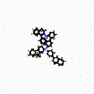 CC1(C)C2=CC(N(C3C=CC(C4CC=CC=C4N4c5ccccc5C5c6ccccc6C=CC54)=CC3)C3CCC(C4CCC5CCC=CC5C4)CC3)CC=C2C2CCCC=C21